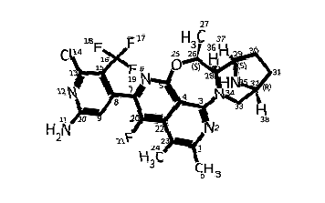 Cc1nc2c3c(nc(-c4cc(N)nc(Cl)c4C(F)(F)F)c(F)c3c1C)O[C@@H](C)[C@@H]1[C@@H]3CC[C@H](CN21)N3